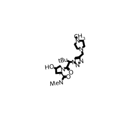 CNC(=O)[C@H]1CC(O)CN1C(=O)C(n1cc(CN2CCN(C)CC2)nn1)C(C)(C)C